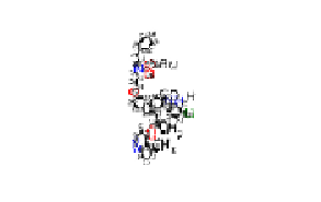 C[C@@H](COc1ccnc2c1[C@H](C)CCC2)C[C@H]1Cc2ccc(OCCCCN(CCCc3ccccc3)C(=O)OC(C)(C)C)cc2C12CCC(Nc1cccc(Cl)c1)(C(=O)O)CC2